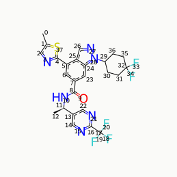 Cc1cnc(-c2cc(C(=O)N[C@H](C)c3cnc(C(F)(F)F)nc3)cc3c2cnn3C2CCC(F)(F)CC2)s1